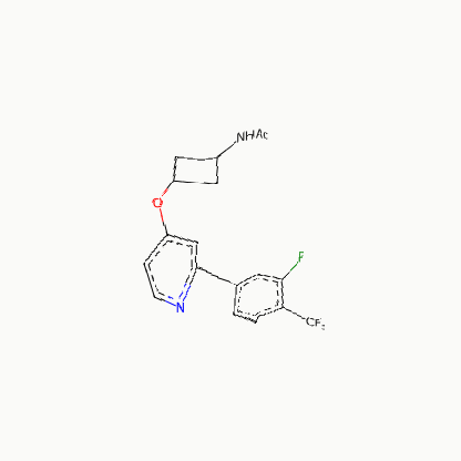 CC(=O)NC1CC(Oc2ccnc(-c3ccc(C(F)(F)F)c(F)c3)c2)C1